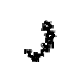 O=C(NCCc1nnn(CCF)n1)Nc1nc2ccc(-c3cccnc3)cc2s1